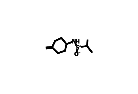 C=C1CCC(N[S+]([O-])C(C)C)CC1